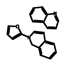 C1=CN(c2ccco2)Cc2ccccc21.c1ccc2ncccc2c1